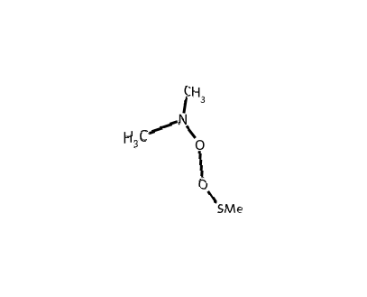 CSOON(C)C